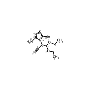 CCOC(OCC)C(C#N)n1c(Br)cnc1N